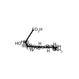 C[C@@H](O)[C@H](NC(=O)[C@H](CCCCNC(=O)COCCOCCNC(=O)COCCOCCNC(=O)CC[C@H](NC(=O)CC[C@H](NC(=O)CCCCCCCCCCCCCCC(=O)O)C(=O)O)C(=O)O)NI)C(N)=O